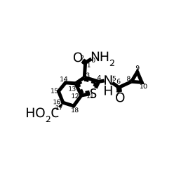 NC(=O)c1c(NC(=O)C2CC2)sc2c1CC[C@H](C(=O)O)C2